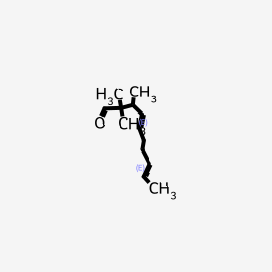 C/C=C/CC/C=C/C(C)C(C)(C)C=O